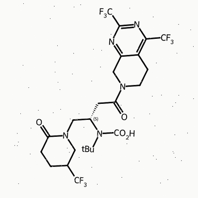 CC(C)(C)N(C(=O)O)[C@@H](CC(=O)N1CCc2c(nc(C(F)(F)F)nc2C(F)(F)F)C1)CN1CC(C(F)(F)F)CCC1=O